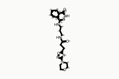 O=C(CCc1nc(N2CCOCC2)no1)NCCCNc1n[nH]c(=O)c2ccccc12